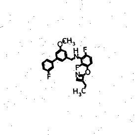 CCC1=CN=C1Oc1ccc(F)c(NCc2cc(OC)cc(-c3cccc(F)c3)c2)c1F